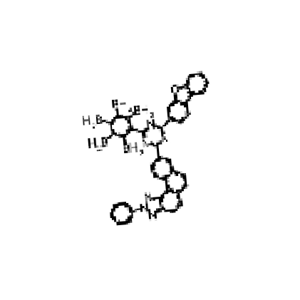 Bc1c(B)c(B)c(-c2nc(-c3ccc4c(ccc5ccc6nn(-c7ccccc7)nc6c54)c3)nc(-c3ccc4c(c3)oc3ccccc34)n2)c(B)c1B